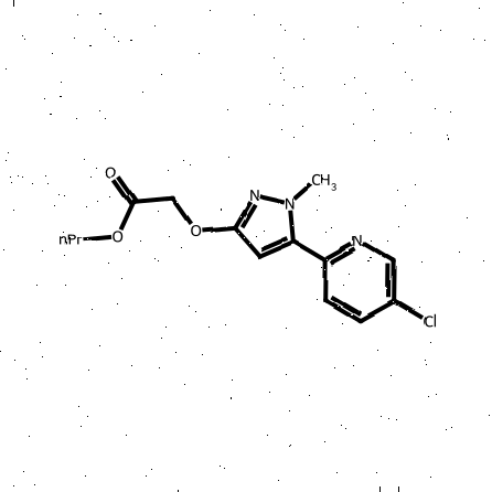 CCCOC(=O)COc1cc(-c2ccc(Cl)cn2)n(C)n1